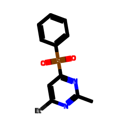 CCc1cc(S(=O)(=O)c2ccccc2)nc(C)n1